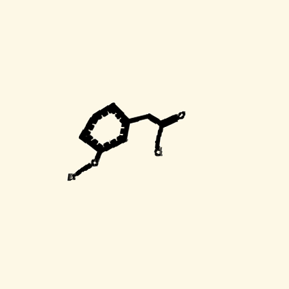 CCOc1cccc(CC(=O)Cl)c1